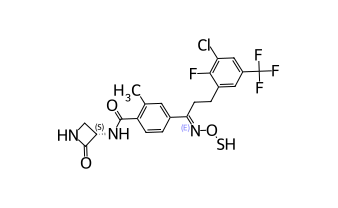 Cc1cc(/C(CCc2cc(C(F)(F)F)cc(Cl)c2F)=N/OS)ccc1C(=O)N[C@H]1CNC1=O